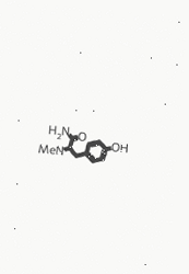 CNC(Cc1ccc(O)cc1)C(N)=O